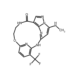 CNc1cc2nc3c(cnn13)C(=O)NCCOc1ccc(C(F)(F)F)c(n1)N2